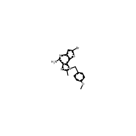 [CH2]c1nc2c(N)nc3cc(Br)sc3c2n1Cc1ccc(OC)cc1